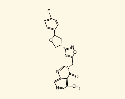 Cc1cncc2ncn(Cc3nc([C@@H]4CO[C@@H](c5ccc(F)cc5)C4)no3)c(=O)c12